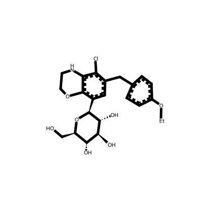 CCOc1ccc(Cc2cc([C@@H]3O[C@H](CO)[C@@H](O)[C@H](O)[C@H]3O)c3c(c2Cl)NCCO3)cc1